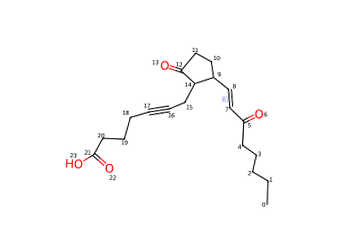 CCCCCC(=O)/C=C/C1CCC(=O)C1CC#CCCCC(=O)O